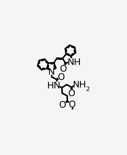 COC(=O)CCC(CC(N)=O)NC(=O)Cn1cc(C=C2C(=O)Nc3ccccc32)c2ccccc21